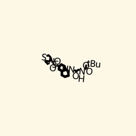 CC(C)(C)OC(=O)NCC(=O)Nc1cccc2cc(S(=O)(=O)N3CC4CC3CS4)ccc12